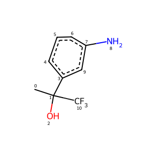 CC(O)(c1cccc(N)c1)C(F)(F)F